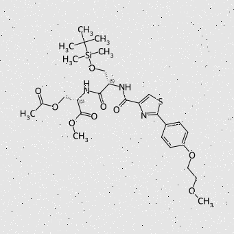 COCCOc1ccc(-c2nc(C(=O)N[C@@H](CO[Si](C)(C)C(C)(C)C)C(=O)N[C@@H](COC(C)=O)C(=O)OC)cs2)cc1